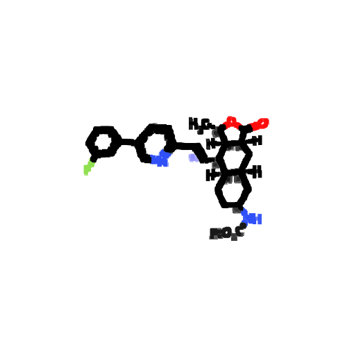 CCOC(=O)N[C@H]1CC[C@@H]2[C@H](C1)C[C@@H]1C(=O)O[C@@H](C)[C@@H]1[C@H]2/C=C/c1ccc(-c2cccc(F)c2)cn1